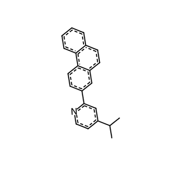 CC(C)c1ccnc(-c2ccc3c(ccc4ccccc43)c2)c1